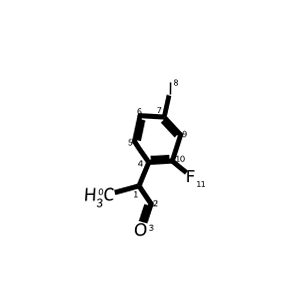 CC(C=O)c1ccc(I)cc1F